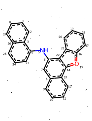 c1ccc2c(Nc3cc4ccccc4c4oc5ccccc5c34)cccc2c1